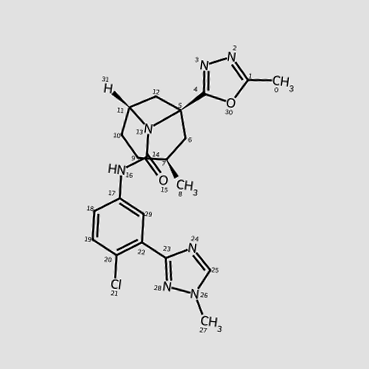 Cc1nnc([C@]23C[C@@H](C)CC[C@H](C2)N3C(=O)Nc2ccc(Cl)c(-c3ncn(C)n3)c2)o1